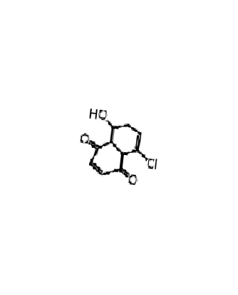 O=C1C=CC(=O)C2C(O)CC=C(Cl)C12